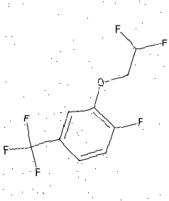 Fc1ccc(C(F)(F)F)cc1OCC(F)F